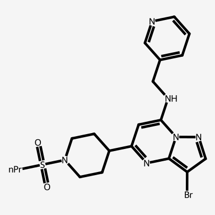 CCCS(=O)(=O)N1CCC(c2cc(NCc3cccnc3)n3ncc(Br)c3n2)CC1